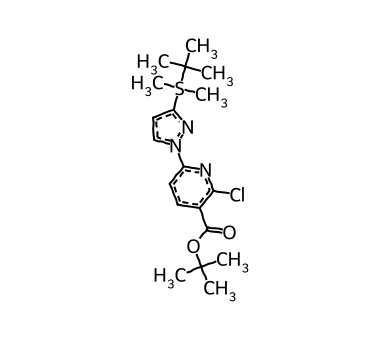 CC(C)(C)OC(=O)c1ccc(-n2ccc(S(C)(C)C(C)(C)C)n2)nc1Cl